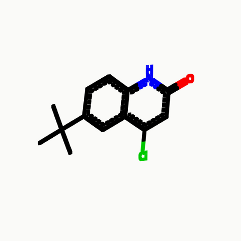 CC(C)(C)c1ccc2[nH]c(=O)cc(Cl)c2c1